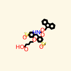 C[S+]([O-])c1ccc(C(NC(=O)OCC2c3ccccc3-c3ccccc32)c2ccc([S+](C)[O-])cc2OCCCCC(=O)O)cc1